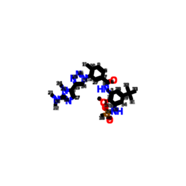 COc1c(NC(=O)c2ccc(C)c(-n3cc(-c4cnc(N(C)C)n4C)nn3)c2)cc(C(C)(C)C)cc1NS(C)(=O)=O